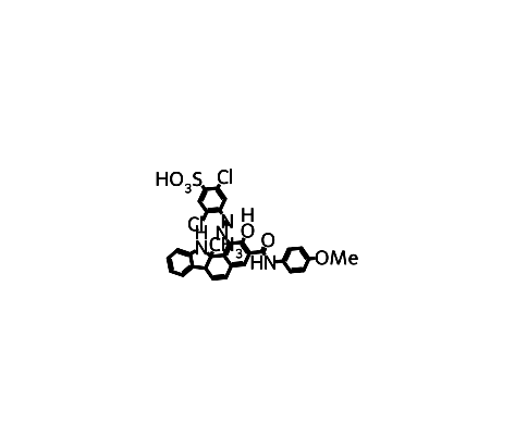 COc1ccc(NC(=O)c2cc3c(c(N=Nc4cc(Cl)c(S(=O)(=O)O)cc4Cl)c2O)C2(C)Nc4ccccc4C2C=C3)cc1